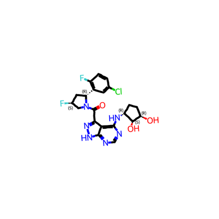 O=C(c1n[nH]c2ncnc(N[C@@H]3CC[C@@H](O)[C@H]3O)c12)N1C[C@@H](F)C[C@@H]1c1cc(Cl)ccc1F